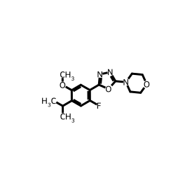 COc1cc(-c2nnc(N3CCOCC3)o2)c(F)cc1C(C)C